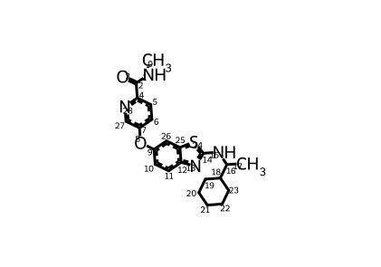 CNC(=O)c1ccc(Oc2ccc3nc(NC(C)C4CCCCC4)sc3c2)cn1